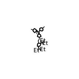 CCN(CC)c1ccc(CCc2ccc(N(c3ccc(C)cc3)c3ccc(C)cc3)cc2)c(N(CC)CC)c1